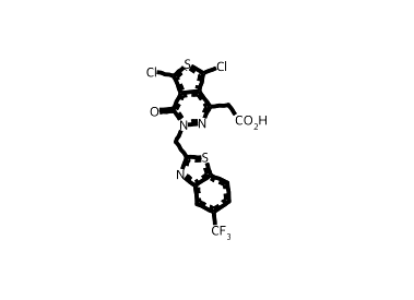 O=C(O)Cc1nn(Cc2nc3cc(C(F)(F)F)ccc3s2)c(=O)c2c(Cl)sc(Cl)c12